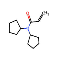 C=CC(=O)N(C1CCCC1)C1CCCC1